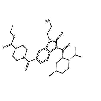 CCOC(=O)N1CCN(C(=O)c2ccc3c(c2)n(CCN)c(=O)n3C(=O)[C@@H]2C[C@H](C)CC[C@H]2C(C)C)CC1